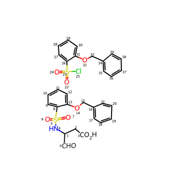 O=CC(CC(=O)O)NS(=O)(=O)c1ccccc1OCc1ccccc1.O=S(=O)(Cl)c1ccccc1OCc1ccccc1